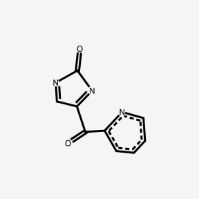 O=C1N=CC(C(=O)c2ccccn2)=N1